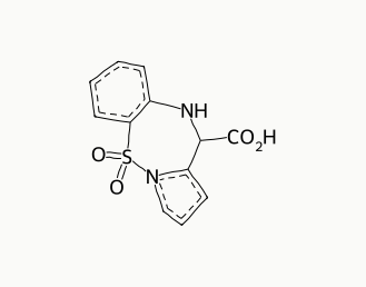 O=C(O)C1Nc2ccccc2S(=O)(=O)n2cccc21